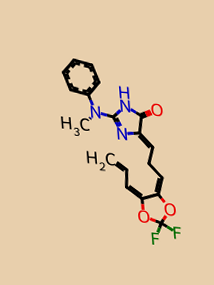 C=C/C=C1/OC(F)(F)O/C1=C/C/C=C1\N=C(N(C)c2ccccc2)NC1=O